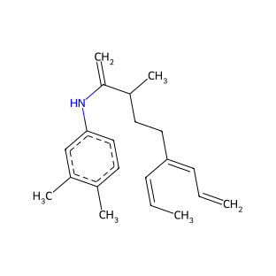 C=C/C=C(\C=C/C)CCC(C)C(=C)Nc1ccc(C)c(C)c1